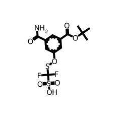 CC(C)(C)OC(=O)c1cc(OSC(F)(F)S(=O)(=O)O)cc(C(N)=O)c1